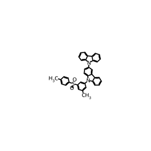 Cc1ccc(S(=O)(=O)c2cc(C)cc(-n3c4ccccc4c4cc(-n5c6ccccc6c6ccccc65)ccc43)c2)cc1